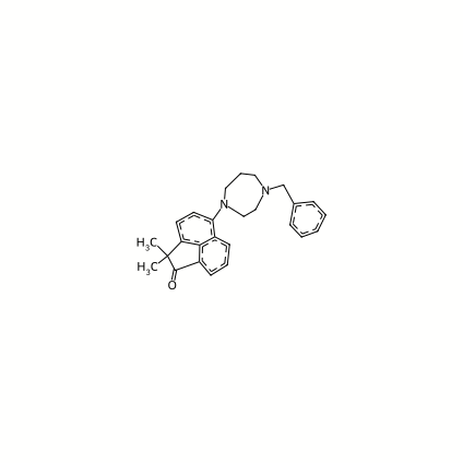 CC1(C)C(=O)c2cccc3c(N4CCCN(Cc5ccccc5)CC4)ccc1c23